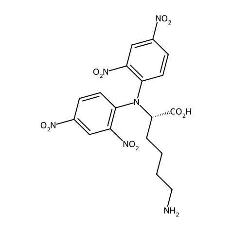 NCCCC[C@@H](C(=O)O)N(c1ccc([N+](=O)[O-])cc1[N+](=O)[O-])c1ccc([N+](=O)[O-])cc1[N+](=O)[O-]